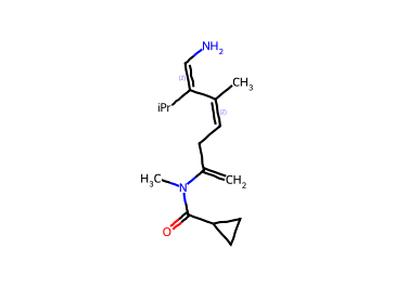 C=C(C/C=C(C)\C(=C/N)C(C)C)N(C)C(=O)C1CC1